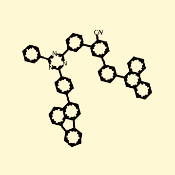 N#Cc1ccc(-c2cccc(-c3cc4ccccc4c4ccccc34)c2)cc1-c1cccc(-c2nc(-c3ccccc3)nc(-c3ccc(-c4ccc5c6c(cccc46)-c4ccccc4-5)cc3)n2)c1